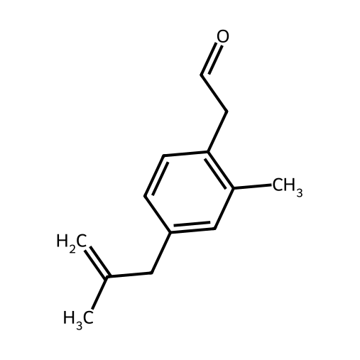 C=C(C)Cc1ccc(CC=O)c(C)c1